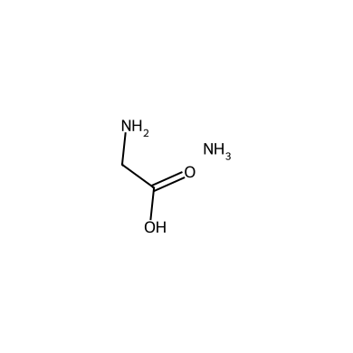 N.NCC(=O)O